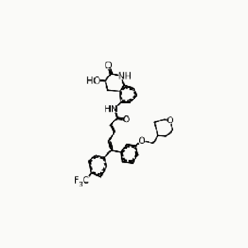 O=C(C=CC=C(c1ccc(C(F)(F)F)cc1)c1cccc(OCC2CCOCC2)c1)Nc1cccc2c1CC(O)C(=O)N2